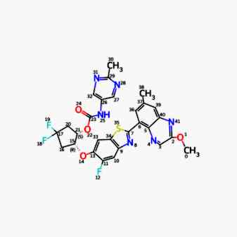 COc1cnc2c(-c3nc4cc(F)c(O[C@@H]5CC(F)(F)C[C@@H]5OC(=O)Nc5cnc(C)nc5)cc4s3)cc(C)cc2n1